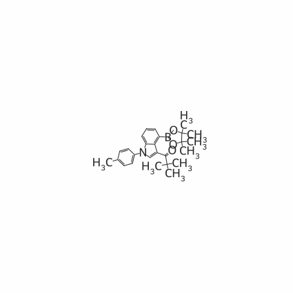 Cc1ccc(-n2cc(C(=O)C(C)(C)C)c3c(B4OC(C)(C)C(C)(C)O4)cccc32)cc1